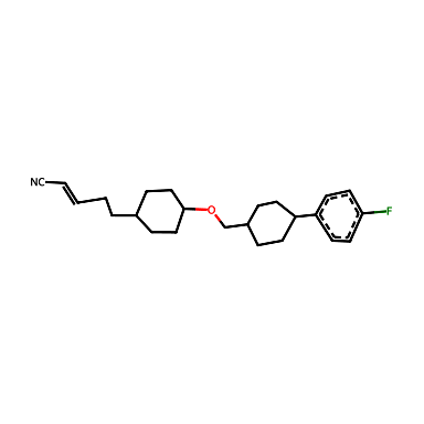 N#CC=CCCC1CCC(OCC2CCC(c3ccc(F)cc3)CC2)CC1